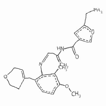 C=C(/C=N\c1c(C2=CCOCC2)ccc(OC)c1C)NC(=O)c1coc(CP)c1